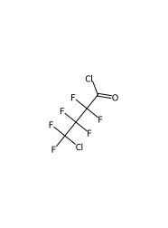 O=C(Cl)C(F)(F)C(F)(F)C(F)(F)Cl